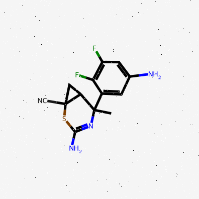 CC1(c2cc(N)cc(F)c2F)N=C(N)SC2(C#N)CC21